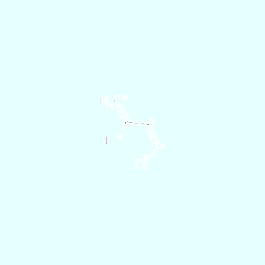 C=C(O)/C=C\CC